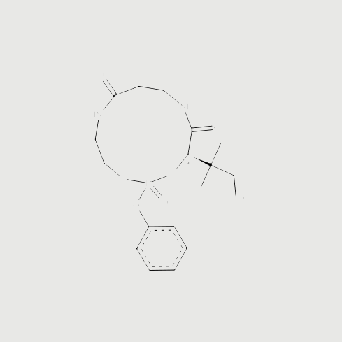 CC(=O)OCC(C)(C)[C@H]1OP(=O)(Oc2ccccc2)SCCNC(=O)CCNC1=O